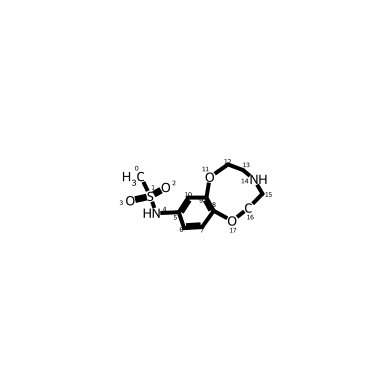 CS(=O)(=O)Nc1ccc2c(c1)OCCNCCO2